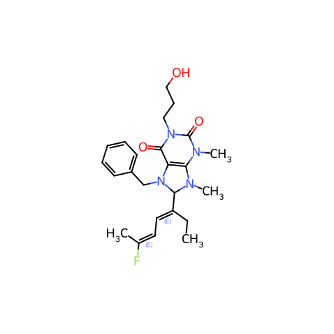 CC/C(=C\C=C(/C)F)C1N(C)c2c(c(=O)n(CCCO)c(=O)n2C)N1Cc1ccccc1